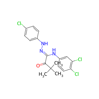 CC(C)(C)C(=O)/C(=N/Nc1ccc(Cl)cc1)Nc1ccc(Cl)c(Cl)c1